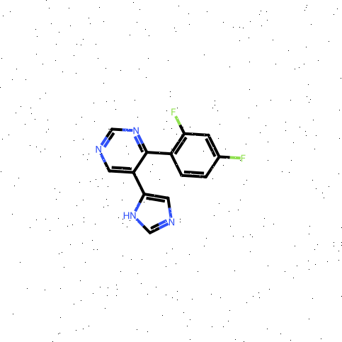 Fc1ccc(-c2n[c]ncc2-c2cnc[nH]2)c(F)c1